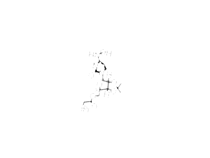 CC(C)CC(=O)OC[C@H]1O[C@@H](n2ccc(NO)nc2=O)[C@@H]2OC(C)(C)O[C@@H]21